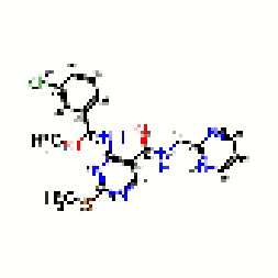 COC(Nc1nc(SC)ncc1C(=O)NCc1ncccn1)c1cccc(Cl)c1